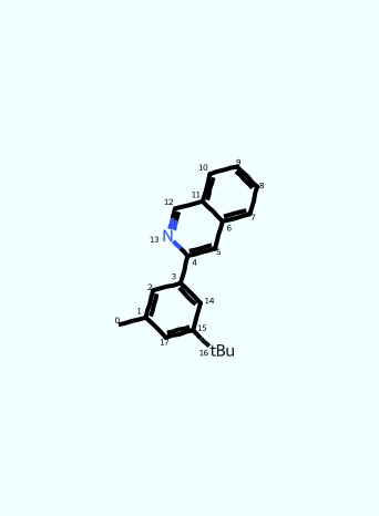 Cc1cc(-c2cc3ccccc3cn2)cc(C(C)(C)C)c1